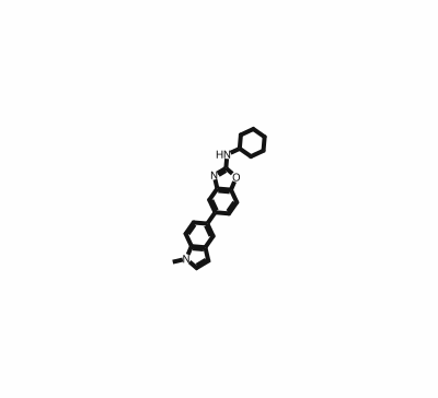 Cn1ccc2cc(-c3ccc4oc(NC5CCCCC5)nc4c3)ccc21